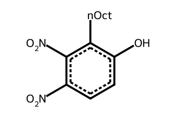 CCCCCCCCc1c(O)ccc([N+](=O)[O-])c1[N+](=O)[O-]